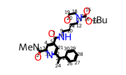 CNC(=O)c1cc(C(=O)NCC[C@@H]2CN(C(=O)OC(C)(C)C)CCO2)cc(C(C)c2ccccc2)n1